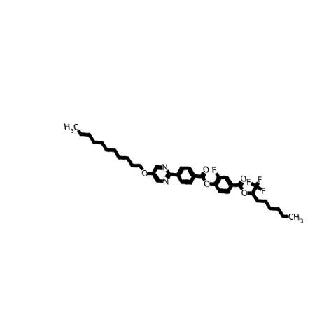 CCCCCCCCCCCOc1cnc(-c2ccc(C(=O)Oc3ccc(C(=O)OC(CCCCCC)C(F)(F)F)cc3F)cc2)nc1